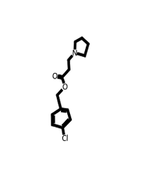 O=C(CCN1CCCC1)OCc1ccc(Cl)cc1